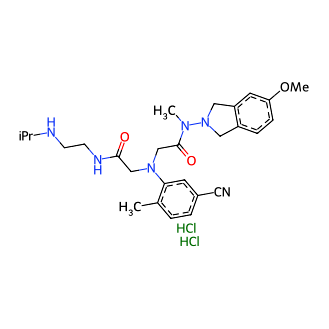 COc1ccc2c(c1)CN(N(C)C(=O)CN(CC(=O)NCCNC(C)C)c1cc(C#N)ccc1C)C2.Cl.Cl